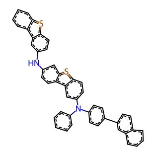 c1ccc(N(c2ccc(-c3ccc4ccccc4c3)cc2)c2ccc3sc4cc(Nc5ccc6sc7ccccc7c6c5)ccc4c3c2)cc1